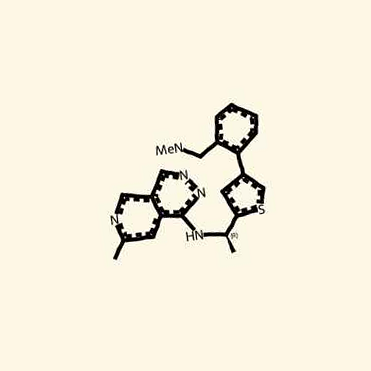 CNCc1ccccc1-c1csc([C@@H](C)Nc2nncc3cnc(C)cc23)c1